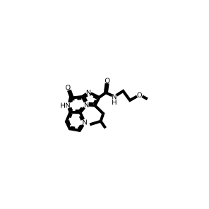 COCCNC(=O)c1nc2c(=O)[nH]c3cccnc3n2c1CC(C)C